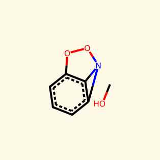 CO.c1cc2c3c(c1)N3OO2